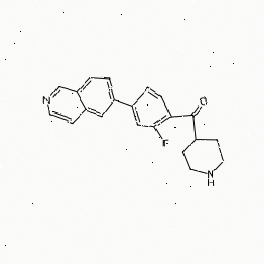 O=C(c1ccc(-c2ccc3cnccc3c2)cc1F)C1CCNCC1